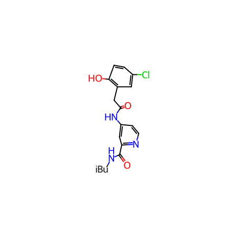 CCC(C)NC(=O)c1cc(NC(=O)Cc2cc(Cl)ccc2O)ccn1